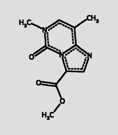 COC(=O)c1cnc2c(C)cn(C)c(=O)n12